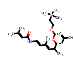 C=C(C)C[C@@H](OCOCC[Si](C)(C)C)C(C)/C=C(C)/C=C/NC(=O)C=C(C)C